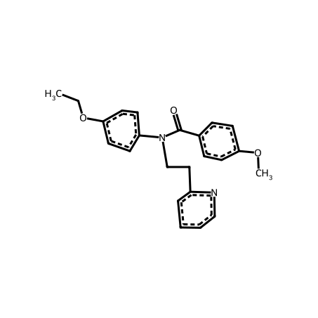 CCOc1ccc(N(CCc2ccccn2)C(=O)c2ccc(OC)cc2)cc1